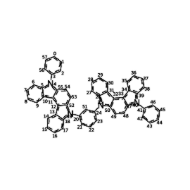 c1ccc(-n2c3ccccc3c3c4c5ccccc5n(-c5cccc(-n6c7ccccc7c7c8c9ccccc9n(-c9ccccc9)c8ccc76)c5)c4ccc32)cc1